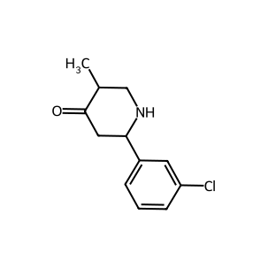 CC1CNC(c2cccc(Cl)c2)CC1=O